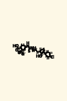 O=C(O)c1ccc(NC(=S)NN=CCc2csc(-c3ccc(Cl)cc3)c2O)cc1[N+](=O)[O-]